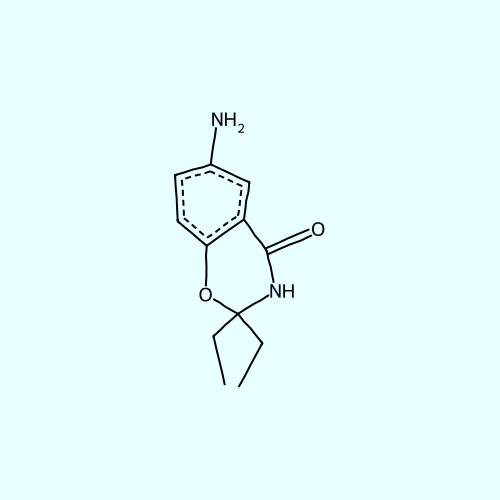 CCC1(CC)NC(=O)c2cc(N)ccc2O1